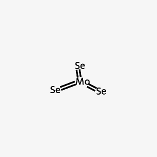 [Se]=[Mo](=[Se])=[Se]